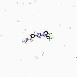 CNC(=O)c1ccc(F)c(-c2cnc(NCC3(c4ncccc4Cl)CC(F)(F)C3)nn2)c1